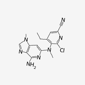 CCc1cc(C#N)nc(Cl)c1N(C)c1cc2c(ncn2C)c(N)n1